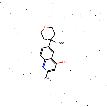 COC1(c2ccc3nc(C)cc(O)c3c2)CCOCC1